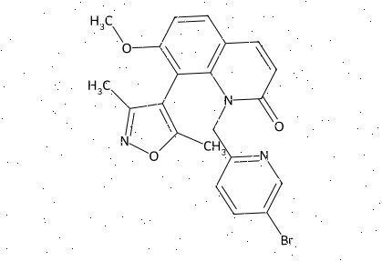 COc1ccc2ccc(=O)n(Cc3ccc(Br)cn3)c2c1-c1c(C)noc1C